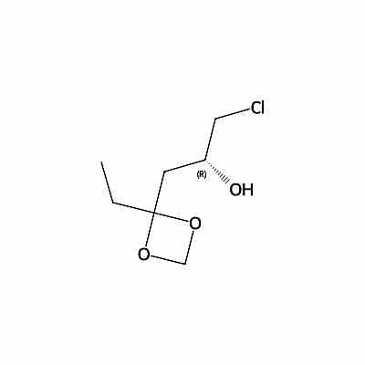 CCC1(C[C@@H](O)CCl)OCO1